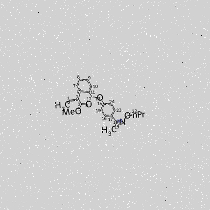 CC=C(C(=O)OC)c1ccccc1COc1ccc(/C(C)=N\OCCC)cc1